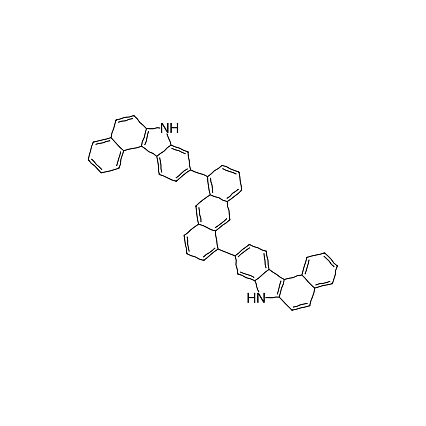 c1cc(-c2ccc3c(c2)[nH]c2ccc4ccccc4c23)c2cc3cccc(-c4ccc5c(c4)[nH]c4ccc6ccccc6c45)c3cc2c1